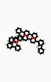 c1ccc(-c2ccc(-c3ccccc3N(c3ccc(-c4ccc(-c5cccc6c5oc5ccccc56)cc4)cc3)c3ccc(-c4ccccc4-c4ccccc4-n4c5ccccc5c5ccccc54)cc3)cc2)cc1